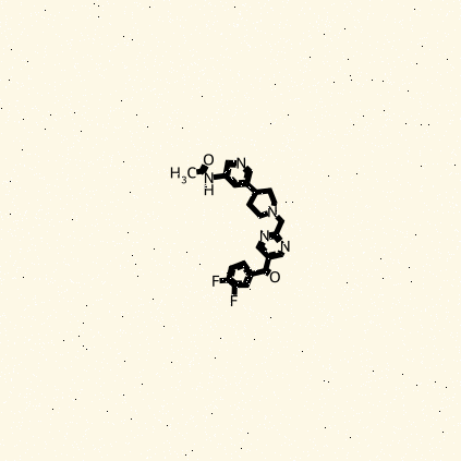 CC(=O)Nc1cncc(C2CCN(Cc3ncc(C(=O)c4ccc(F)c(F)c4)cn3)CC2)c1